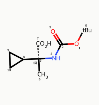 CC(C)(C)OC(=O)N[C@](C)(C(=O)O)C1CC1